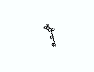 COc1cc2c(cc1OC)CC(=O)N(CCCC1CCCN(CCCc3cccnc3)C1)C=C2